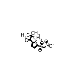 CC(C)(C)C(=O)c1ccc(S(=O)(=O)C[N+](=O)[O-])s1